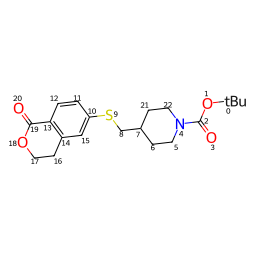 CC(C)(C)OC(=O)N1CCC(CSc2ccc3c(c2)CCOC3=O)CC1